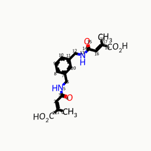 CC(=CC(=O)NCc1cccc(CNC(=O)C=C(C)C(=O)O)c1)C(=O)O